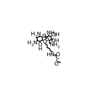 CC(=O)CCC(=O)NCCCCCCOC1C(O)C(N)CC(N)C1OC1OC(CN)C(O)C(O)C1N